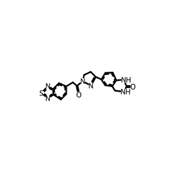 O=C1NCc2cc(C3=NN(C(=O)Cc4ccc5nsnc5c4)CC3)ccc2N1